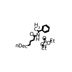 CCCCCCCCCCCCCC(=O)NC(C)c1ccccc1.CCO[PH](=O)OCC